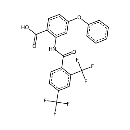 O=C(O)c1ccc(Oc2ccccc2)cc1NC(=O)c1ccc(C(F)(F)F)cc1C(F)(F)F